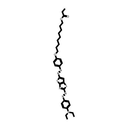 CCC(=O)OCCCCCCCCCOc1ccc(N=Nc2cc3sc(N=Nc4ccc(N(CC)CC)cc4)nc3s2)cc1